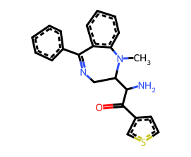 CN1c2ccccc2C(c2ccccc2)=NCC1C(N)C(=O)c1ccsc1